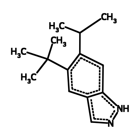 CC(C)c1cc2[nH]ncc2cc1C(C)(C)C